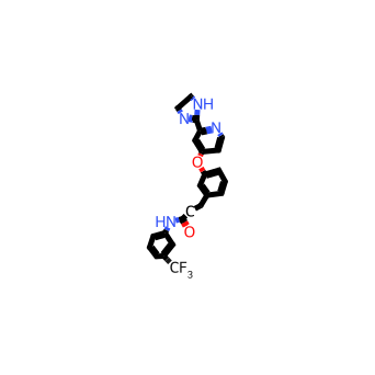 O=C(CCc1cccc(Oc2ccnc(C3=NCCN3)c2)c1)Nc1cccc(C(F)(F)F)c1